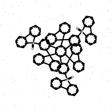 O=P1(c2ccc3c(c2)C2(c4ccccc4-c4ccccc42)c2c-3c3c(c4c2-c2ccc(P5(=O)c6ccccc6-c6ccccc65)cc2C42c4ccccc4-c4ccccc42)-c2ccc(P4(=O)c5ccccc5-c5ccccc54)cc2C32c3ccccc3-c3ccccc32)c2ccccc2-c2ccccc21